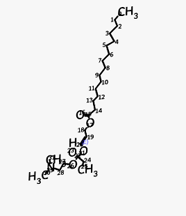 CCCCCCCCCCCCCCCC(=O)OC/C=C/OC(O)(CC)OCCN(C)C